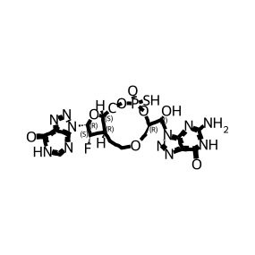 Nc1nc2c(nnn2[C@H](O)[C@H]2COCC[C@H]3[C@H](F)[C@H](n4nnc5c(=O)[nH]cnc54)O[C@@H]3COP(=O)(S)O2)c(=O)[nH]1